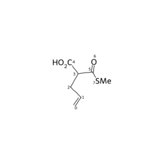 C=CCC(C(=O)O)C(=O)SC